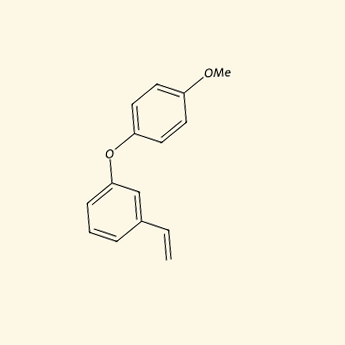 C=Cc1cccc(Oc2ccc(OC)cc2)c1